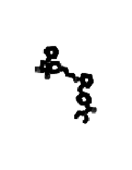 CCN(CC)C(=O)c1ccc(Cc2ccccc2OCCCN2CCC3(CC2)C(=O)NCN3c2ccccc2)cc1